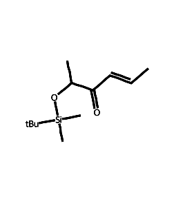 CC=CC(=O)C(C)O[Si](C)(C)C(C)(C)C